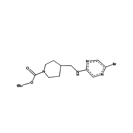 CC(C)(C)OC(=O)N1CCC(CNc2cnc(Br)cn2)CC1